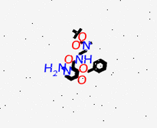 CN(CCNC(=O)c1c(OCc2ccccc2)c(=O)ccn1N)C(=O)OC(C)(C)C